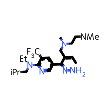 C/C=C(CN(C)CCNC)\C(=N/N)c1cnc(N(CC)CC(C)C)c(C(F)(F)F)c1